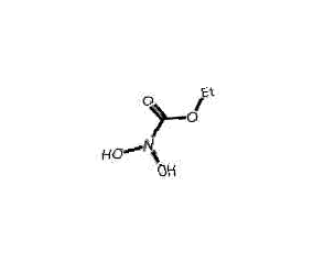 CCOC(=O)N(O)O